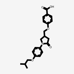 CC(C)COc1ccc(N2CC(COc3ccc(C(=O)O)cc3)CC2=O)cc1